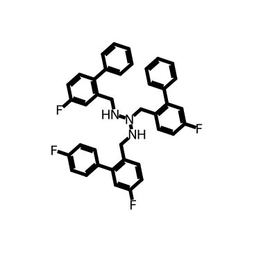 Fc1ccc(-c2cc(F)ccc2CNN(Cc2ccc(F)cc2-c2ccccc2)NCc2cc(F)ccc2-c2ccccc2)cc1